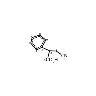 N#CCC(C(=O)O)c1ccccc1